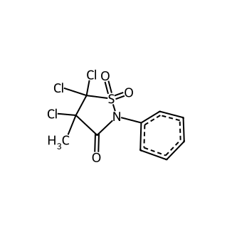 CC1(Cl)C(=O)N(c2ccccc2)S(=O)(=O)C1(Cl)Cl